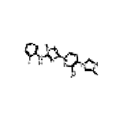 COc1nc(-c2nc(Nc3ccccc3F)n(C)n2)ccc1-n1cnc(C)c1